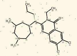 CCC[C@H](c1nc2cc(Cl)c(Cl)cc2c(=O)n1CC)N1CCN(C)CC(C)C1